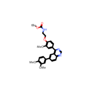 COc1ccc(-c2ccc3ncnc(-c4ccc(OCCNC(=O)OC(C)(C)C)c(OC)c4)c3c2)cc1OC